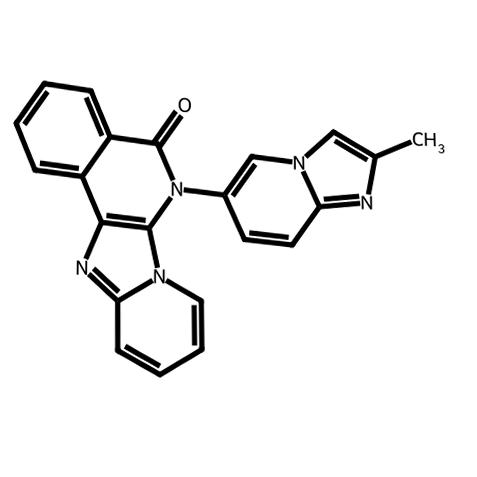 Cc1cn2cc(-n3c(=O)c4ccccc4c4nc5ccccn5c43)ccc2n1